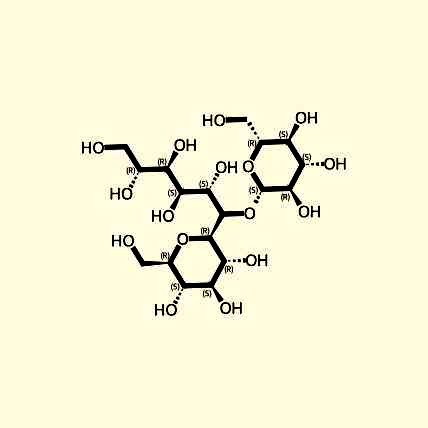 OC[C@@H](O)[C@@H](O)[C@H](O)[C@H](O)C(O[C@@H]1O[C@H](CO)[C@@H](O)[C@H](O)[C@H]1O)[C@@H]1O[C@H](CO)[C@@H](O)[C@H](O)[C@H]1O